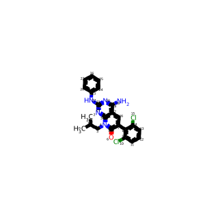 CC(C)Cn1c(=O)c(-c2c(Cl)cccc2Cl)cc2c(N)nc(Nc3ccccc3)nc21